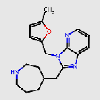 Cc1ccc(Cn2c(CC3CCCNCC3)nc3cccnc32)o1